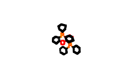 C1=CCCC(P(c2ccccc2)c2ccccc2Oc2ccccc2P(c2ccccc2)c2ccccc2)=C1